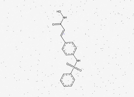 O=C(/C=C/c1ccc(NS(=O)(=O)c2ccccc2)cc1)NO